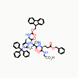 CC(C)(NC(=O)[C@H](Cc1cn(C(c2ccccc2)(c2ccccc2)c2ccccc2)cn1)NC(=O)OCC1c2ccccc2-c2ccccc21)C(=O)N[C@@H](CCC(=O)OCc1ccccc1)C(=O)NCC(=O)O